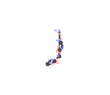 COc1cc2c(cc1OCc1cccc(COc3cc4c(cc3OC)C(=O)N3Cc5cc(NC(=O)CCCOCCN)ccc5C[C@H]3C=N4)n1)N=C[C@@H]1Cc3ccccc3CN1C2=O